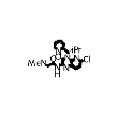 CNCC(=O)Nc1nc2ccc(Cl)nc2n([C@H](c2ccccn2)C(C)C)c1=O